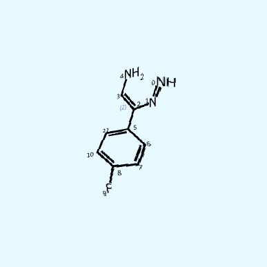 N=N/C(=C\N)c1ccc(F)cc1